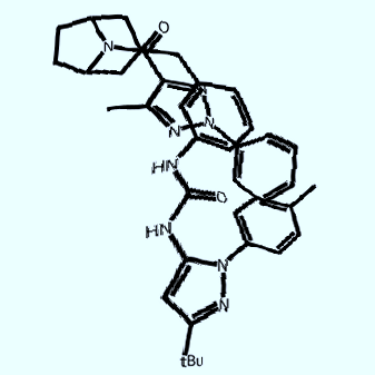 Cc1ccc(-n2nc(C(C)(C)C)cc2NC(=O)Nc2cccc(CC3CC4CCC(C3)N4C(=O)c3nn(-c4ccccc4)nc3C)c2)cc1